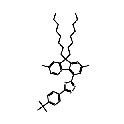 CCCCCCCCC1(CCCCCCCC)c2cc(C)ccc2-c2c(-c3nnc(-c4ccc(C(C)(C)C)cc4)o3)cc(C)cc21